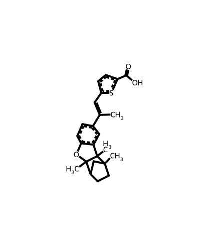 CC(=Cc1ccc(C(=O)O)s1)c1ccc2c(c1)C1(C)C3(C)CCC(C3)C1(C)O2